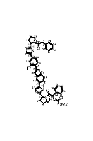 COC(=O)N[C@@H](C(=O)N1CCC[C@H]1c1ncc(-c2ccc3oc(-c4ccc(-c5cnc([C@@H]6CCCN6C(=O)Cc6ccccc6)[nH]5)cc4F)cc3c2)[nH]1)c1ccccc1